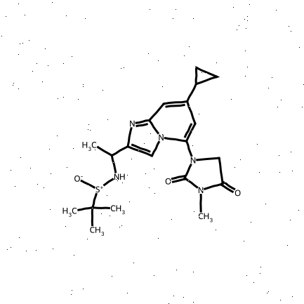 CC(N[S+]([O-])C(C)(C)C)c1cn2c(N3CC(=O)N(C)C3=O)cc(C3CC3)cc2n1